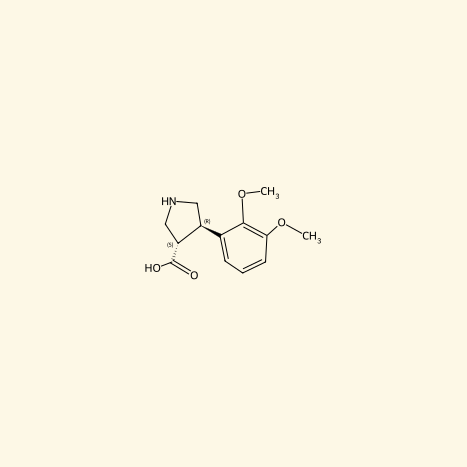 COc1cccc([C@@H]2CNC[C@H]2C(=O)O)c1OC